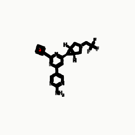 Nc1ncc(-c2cc([C@H]3[C@@H]4CN(CC(F)(F)F)C[C@@H]43)nc(N3CC4CC3C4)n2)cn1